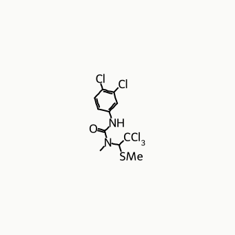 CSC(N(C)C(=O)Nc1ccc(Cl)c(Cl)c1)C(Cl)(Cl)Cl